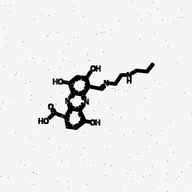 CCCNCCN=Cc1c(O)cc(O)c2nc3c(C(=O)O)ccc(O)c3nc12